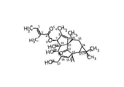 C/C=C(\C)C(=O)O[C@H]1C(C)=C[C@]23C(=O)[C@@H](C=C(CO)[C@@H](O)[C@]12O)C1C(CC3C)C1(C)C